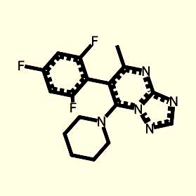 Cc1nc2ncnn2c(N2CCCCC2)c1-c1c(F)cc(F)cc1F